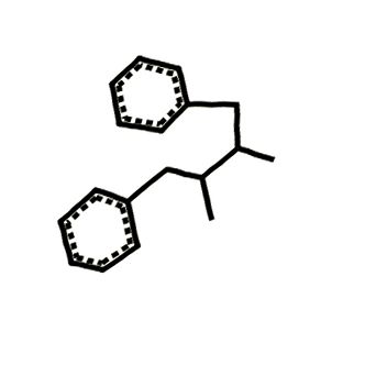 CC(Cc1ccccc1)C(C)Cc1ccccc1